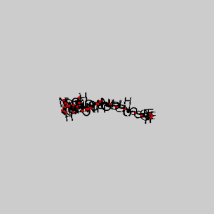 CC[C@H](C)[C@@H]([C@@H](CC(=O)N1CCC[C@H]1[C@H](OC)[C@@H](C)C(=O)N[C@@H](Cc1ccccc1)c1nccs1)OC)N(C)C(=O)[C@@H](NC(=O)C(C)(C)NC(=O)OCc1ccc(NC(=O)CCOCCOCCNC(=O)CCOCCOCCC(=O)Oc2c(F)c(F)c(F)c(F)c2F)cc1)C(C)C